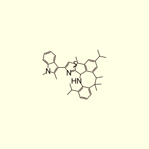 Cc1c(-c2csc(C3Nc4c(C(C)C)cccc4C(C)(C)C(C)c4cc(C(C)C)cc(C(C)C)c43)n2)c2ccccc2n1C